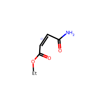 CCOC(=O)/C=C\C(N)=O